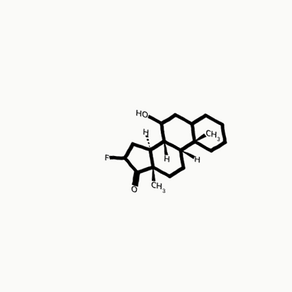 C[C@]12CCCCC1CC(O)[C@@H]1[C@H]2CC[C@]2(C)C(=O)C(F)C[C@@H]12